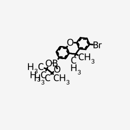 CC1(C)c2cc(Br)ccc2Oc2ccc(B3OC(C)(C)C(C)(C)O3)cc21